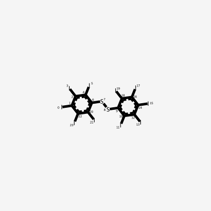 Ic1c(I)c(I)c(SSc2c(I)c(I)c(I)c(I)c2I)c(I)c1I